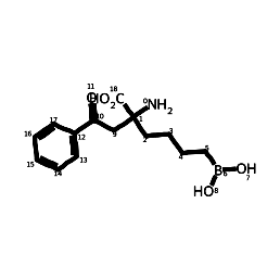 NC(CCCCB(O)O)(CC(=O)c1ccccc1)C(=O)O